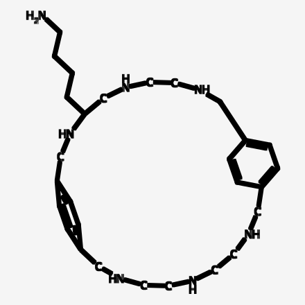 NCCCCC1CNCCNCc2ccc(cc2)CNCCNCCNCc2ccc(cc2)CN1